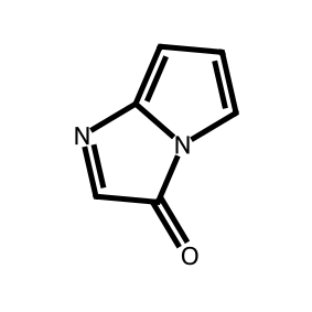 O=C1C=Nc2cccn21